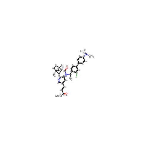 [2H]C(c1ccc(-c2ccc(N(C)C)cc2)cc1F)N(C(=O)[C@@H]1C[C@@H]2CC[C@H]1C2)c1cncc(/C=C/C(=O)OC)c1